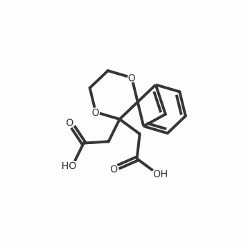 O=C(O)CC1(CC(=O)O)OCCOC12C1=CC=CC2=C1